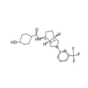 O=C(N[C@H]1CC[C@@H]2CN(c3cccc(C(F)(F)F)n3)C[C@@H]21)C1CCC(O)CC1